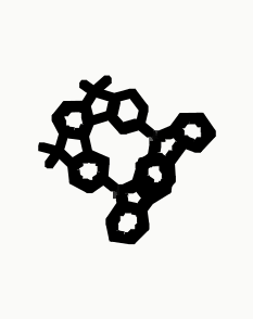 CC1(C)C2=C(C=C(n3c4ccccc4c4ccccc43)CC2)c2c1ccc1c2-c2cc(-n3c4ccccc4c4ccccc43)ccc2C1(C)C